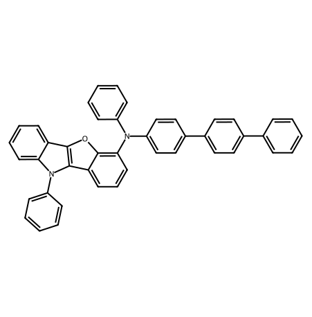 c1ccc(-c2ccc(-c3ccc(N(c4ccccc4)c4cccc5c4oc4c6ccccc6n(-c6ccccc6)c54)cc3)cc2)cc1